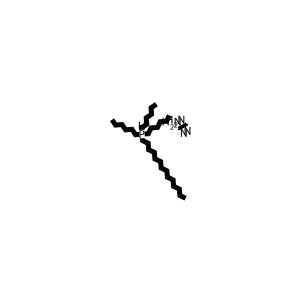 CCCCCCCCCCCCCC[PH](CCCCCC)(CCCCCC)CCCCCC.N#CN.N#CN